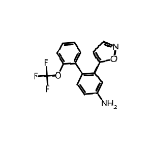 Nc1ccc(-c2ccccc2OC(F)(F)F)c(-c2ccno2)c1